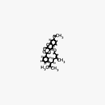 COc1ccc2c(OCC=C(C)CCC=C(C)C)c(OC(=O)c3ccccc3)c(=O)oc2c1